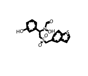 O=CN(O)C(CS(=O)(=O)Cc1ccc2sccc2c1)c1cccc(O)c1